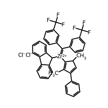 CC1=[C]([Zr+2](=[C](c2cccc(C(F)(F)F)c2)c2cccc(C(F)(F)F)c2)[CH]2c3ccccc3-c3ccccc32)C(C)C=C1c1ccccc1.[Cl-].[Cl-]